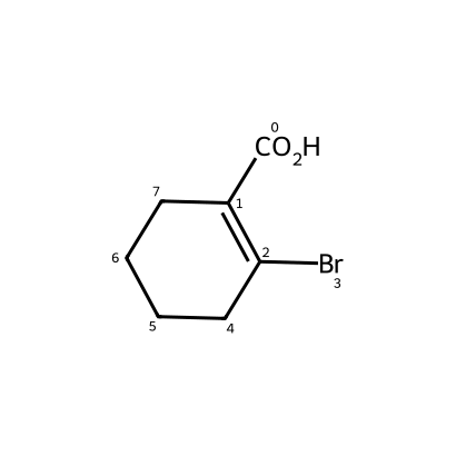 O=C(O)C1=C(Br)CCCC1